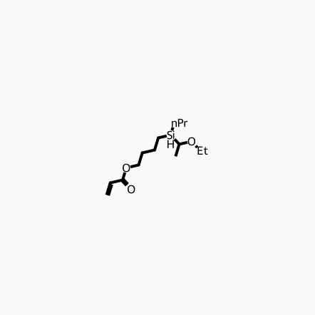 C=CC(=O)OCCCC[SiH](CCC)C(C)OCC